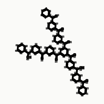 O=C(c1ccccc1)c1cccc(C(=O)c2cccc(C(=O)c3cc(C(=O)c4cccc(C(=O)c5cccc(C(O)c6ccccc6)c5)c4)cc(C(=O)c4cccc(C(O)c5cccc(C(=O)c6ccccc6)c5)c4)c3)c2)c1